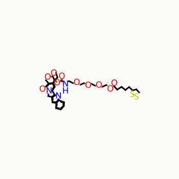 CCC1(OC(=O)NCCOCCOCCOCCOC(=O)CCCCC2CCSS2)C(=O)OCc2c1cc1n(c2=O)Cc2cc3ccccc3nc2-1